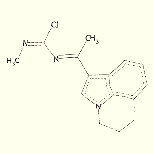 C/N=C(Cl)\N=C(/C)c1cn2c3c(cccc13)CCC2